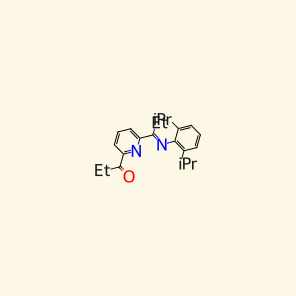 CCC(=O)c1cccc(/C(CC)=N/c2c(C(C)C)cccc2C(C)C)n1